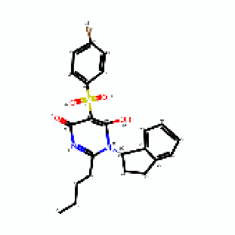 CCCCc1nc(=O)c(S(=O)(=O)c2ccc(Br)cc2)c(O)n1[C@H]1CCc2ccccc21